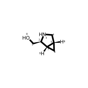 OC[C@H]1NC[C@@H]2C[C@@H]21